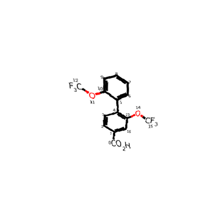 O=C(O)c1ccc(-c2ccccc2OC(F)(F)F)c(OC(F)(F)F)c1